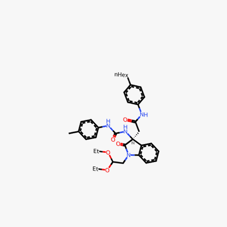 CCCCCCc1ccc(NC(=O)C[C@@]2(NC(=O)Nc3ccc(C)cc3)C(=O)N(CC(OCC)OCC)c3ccccc32)cc1